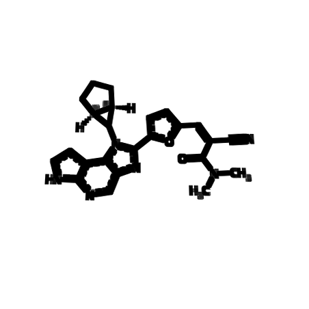 CN(C)C(=O)C(C#N)=Cc1ccc(-c2nc3cnc4[nH]ccc4c3n2C2[C@H]3CCC[C@@H]23)o1